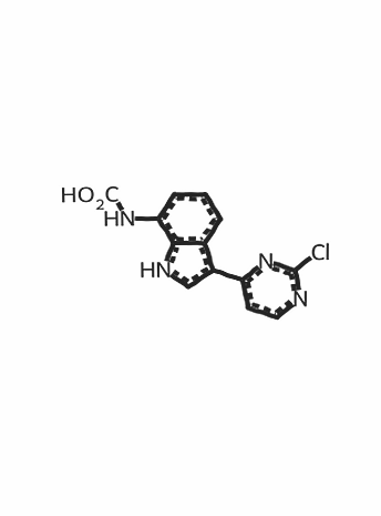 O=C(O)Nc1cccc2c(-c3ccnc(Cl)n3)c[nH]c12